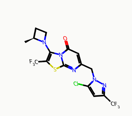 C[C@H]1CCN1c1c(C(F)(F)F)sc2nc(Cn3nc(C(F)(F)F)cc3Cl)cc(=O)n12